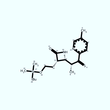 Cc1ccc(C(=S)[C@H](C)[C@H]2NC(=O)[C@H]2CCO[Si](C)(C)C(C)(C)C)nc1